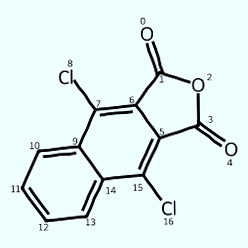 O=C1OC(=O)c2c1c(Cl)c1ccccc1c2Cl